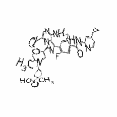 C[C@H]1CO[C@@H](c2nc(-c3ccc(C(=O)Nc4cc(C5CC5)ccn4)cc3F)c3c(N)ncc(Cl)n23)CN1C1CCC(C)(C(=O)O)CC1